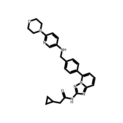 O=C(CC1CC1)Nc1nc2cccc(-c3ccc(CNc4ccc(N5CCOCC5)nc4)cc3)n2n1